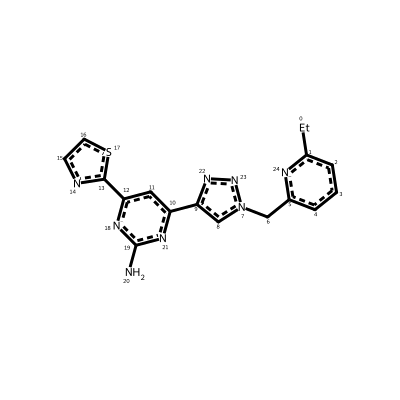 CCc1cccc(Cn2cc(-c3cc(-c4nccs4)nc(N)n3)nn2)n1